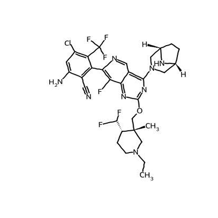 CCN1CC[C@H](C(F)F)[C@](C)(COc2nc(N3C[C@H]4CC[C@@H](C3)N4)c3cnc(-c4c(C#N)c(N)cc(Cl)c4C(F)(F)F)c(F)c3n2)C1